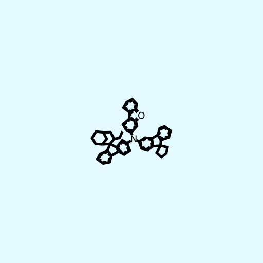 CCC1CC2CCCC(C2)C12c1ccccc1-c1ccc(N(c3ccc4c(c3)-c3ccccc3C43CCCC3)c3ccc4c(c3)oc3ccccc34)cc12